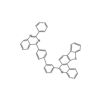 c1ccc(-c2nc(-c3ccc(-c4cccc(-c5nc6ccccc6c6c5ccc5c7ccccc7sc56)c4)cc3)c3ccccc3n2)cc1